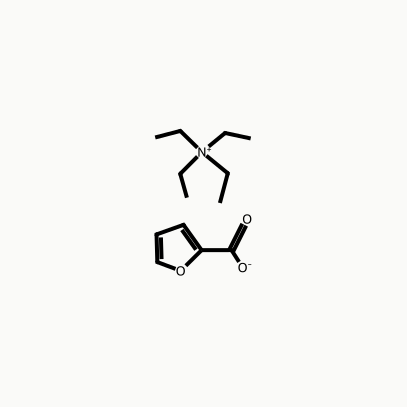 CC[N+](CC)(CC)CC.O=C([O-])c1ccco1